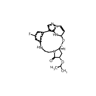 CC(C)O[C@@H]1C[C@H]2COC3C=Cn4ncc(c4N3)-c3cc(F)cc(c3)NCCN2C1=O